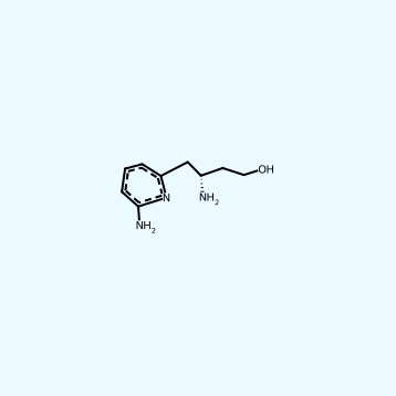 Nc1cccc(C[C@@H](N)CCO)n1